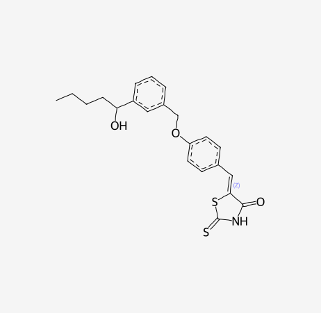 CCCCC(O)c1cccc(COc2ccc(/C=C3\SC(=S)NC3=O)cc2)c1